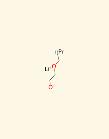 CCCCOCC[O-].[Li+]